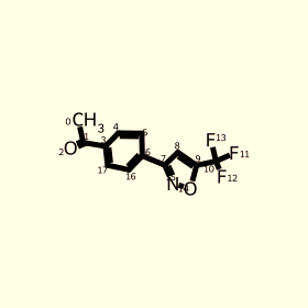 CC(=O)c1ccc(-c2cc(C(F)(F)F)on2)cc1